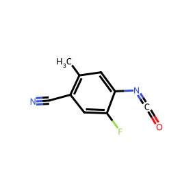 Cc1cc(N=C=O)c(F)cc1C#N